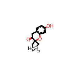 CCC1(CC)Oc2cc(O)ccc2CC1=O